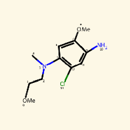 COCCN(C)c1cc(OC)c(N)cc1Cl